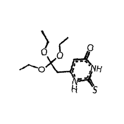 CCOC(Cc1cc(=O)[nH]c(=S)[nH]1)(OCC)OCC